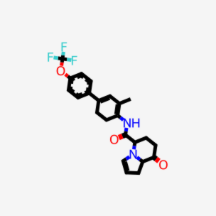 CC1=C(NC(=O)C2CCC(=O)C3CC=CN32)CCC(c2ccc(OC(F)(F)F)cc2)=C1